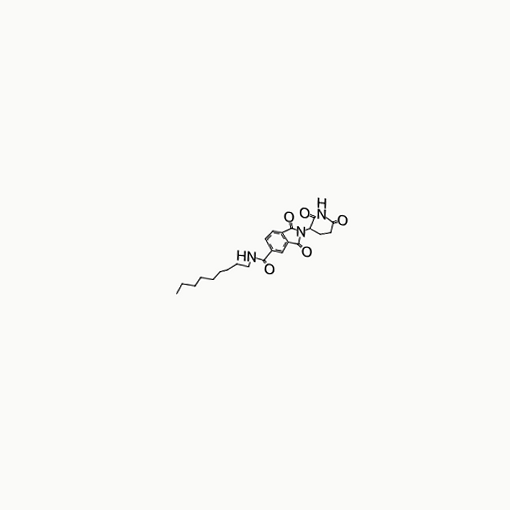 CCCCCCCCCNC(=O)c1ccc2c(c1)C(=O)N(C1CCC(=O)NC1=O)C2=O